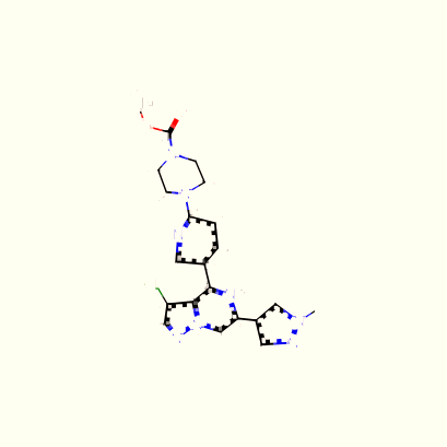 Cn1cc(-c2cn3ncc(Cl)c3c(-c3ccc(N4CCN(C(=O)OC(C)(C)C)CC4)nc3)n2)cn1